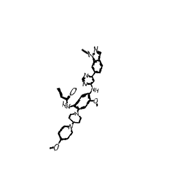 C=CC(=O)Nc1cc(Nc2cc(-c3ccc4cnn(C)c4c3)ncn2)c(OC)cc1N1CCC(N2CCC(OC)CC2)CC1